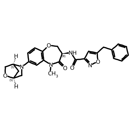 CN1C(=O)[C@H](NC(=O)c2cc(Cc3ccccc3)on2)COc2ccc(N3C[C@@H]4C[C@H]3CO4)cc21